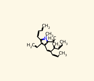 C=C/C=C\c1c(C=C)c(/C=C(/C=C\C)C(=C)/C=C\C)c(C=C)n1C